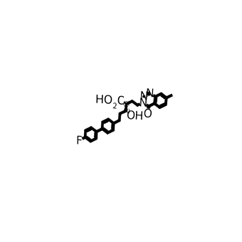 Cc1ccc2c(=O)n(CC[C@H](C(=O)O)[C@H](O)CCc3ccc(-c4ccc(F)cc4)cc3)nnc2c1